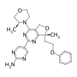 C[C@H]1COCCN1c1nc(-c2cnc(N)nc2)nc2c1CO[C@]2(C)CCOc1ccccc1